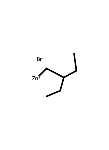 CCC(CC)[CH2][Zn+].[Br-]